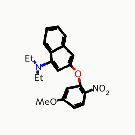 CCN(CC)c1cc(Oc2cc(OC)ccc2[N+](=O)[O-])cc2ccccc12